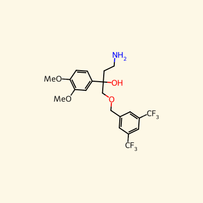 COc1ccc(C(O)(CCN)COCc2cc(C(F)(F)F)cc(C(F)(F)F)c2)cc1OC